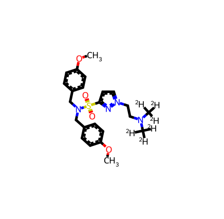 [2H]C([2H])([2H])N(CCn1ccc(S(=O)(=O)N(Cc2ccc(OC)cc2)Cc2ccc(OC)cc2)n1)C([2H])([2H])[2H]